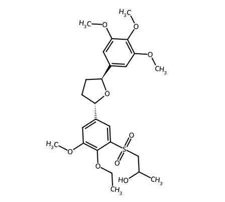 CCOc1c(OC)cc([C@@H]2CC[C@@H](c3cc(OC)c(OC)c(OC)c3)O2)cc1S(=O)(=O)CC(C)O